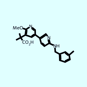 COc1ncc(-c2ccc(NCc3cccc(C)c3)nc2)cc1C(C)(C)C(=O)O